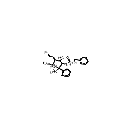 CC(C)CCC(NC(C)(C)C)C(O)C(NC(=O)NCc1ccccc1)C(N)(C=O)c1ccccc1